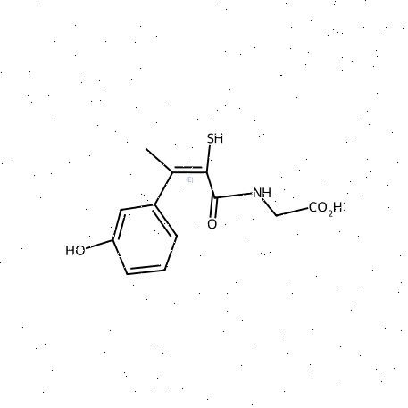 C/C(=C(\S)C(=O)NCC(=O)O)c1cccc(O)c1